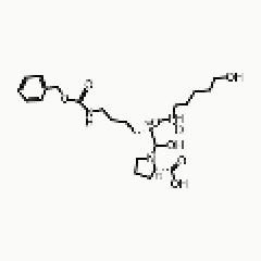 O=C(NCCCC[C@H](O[PH](=O)CCCCCO)C(O)N1CCC[C@H]1C(=O)O)OCc1ccccc1